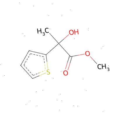 COC(=O)C(C)(O)c1cccs1